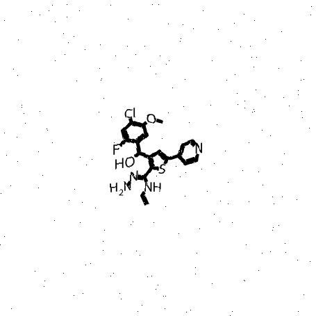 C=CN/C(=N\N)c1sc(-c2ccncc2)cc1C(O)c1cc(OC)c(Cl)cc1F